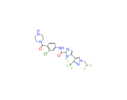 Cn1c(-c2cn(CC(F)F)nc2C(F)(F)F)cnc1C(=O)Nc1ccc(C(=O)N2CCNCC2)c(Cl)c1